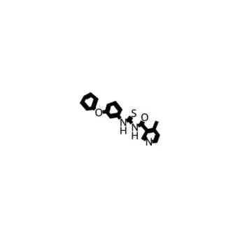 Cc1ccncc1C(=O)NC(=S)Nc1cccc(Oc2ccccc2)c1